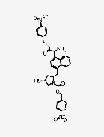 NC(C(=O)OCc1ccc([N+](=O)[O-])cc1)c1ccc(C[C@@H]2C[C@H](S)CN2C(=O)OCc2ccc([N+](=O)[O-])cc2)c2ccccc12